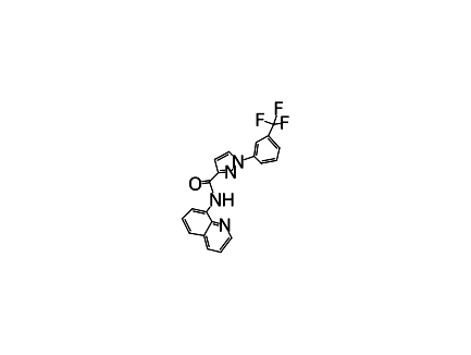 O=C(Nc1cccc2cccnc12)c1ccn(-c2cccc(C(F)(F)F)c2)n1